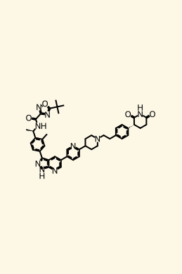 Cc1cc(-c2n[nH]c3ncc(-c4ccc(C5CCN(CCc6ccc([C@H]7CCC(=O)NC7=O)cc6)CC5)nc4)cc23)ccc1[C@@H](C)NC(=O)c1noc(C(C)(C)C)n1